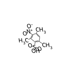 Cc1cc(C)c(S(=O)(=O)O)c(C)c1[N+](=O)[O-]